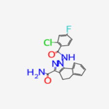 NC(=O)c1nn(NC(=O)c2ccc(F)cc2Cl)c2c1CCc1ccccc1-2